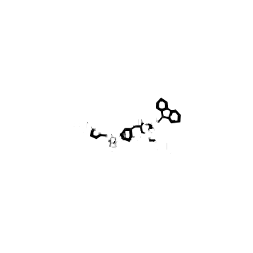 C=CCOC(=O)C(Cc1ccc(OP(=O)(NC)OCc2ccc([N+](=O)[O-])o2)cc1)NC(=O)OCC1c2ccccc2-c2ccccc21